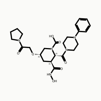 O=C(NO)[C@H]1C[C@H](OCC(=O)N2CCCC2)CN(C(=O)O)[C@@H]1C(=O)N1CCN(c2ccccc2)CC1